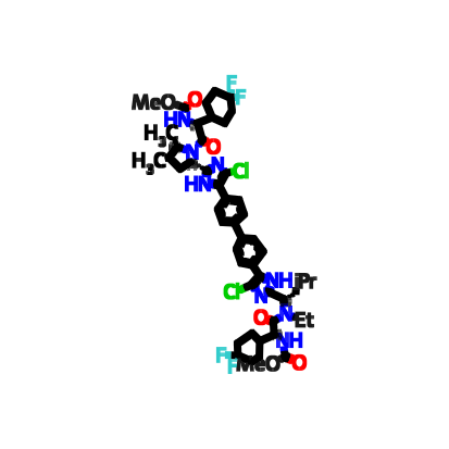 CCN(C(=O)[C@@H](NC(=O)OC)C1CCC(F)(F)CC1)[C@@H](CC(C)C)c1nc(Cl)c(-c2ccc(-c3ccc(-c4[nH]c([C@@H]5CC(C)[C@@H](C)N5C(=O)[C@@H](NC(=O)OC)C5CCC(F)(F)CC5)nc4Cl)cc3)cc2)[nH]1